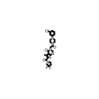 Cc1c(C(=O)N2CCC(F)(F)C2)sc2ncn(CC(=O)N3CCN(c4cccc(Cl)c4)CC3)c(=O)c12